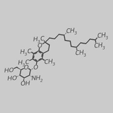 Cc1c(C)c2c(c(C)c1O[C@H]1O[C@H](CO)[C@@H](O)[C@H](O)[C@H]1N)CC[C@@](C)(CCC[C@H](C)CCC[C@H](C)CCCC(C)C)O2